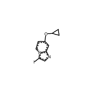 Ic1cnc2cc(OC3CC3)ccn12